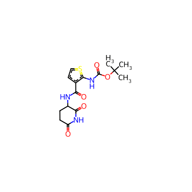 CC(C)(C)OC(=O)Nc1sccc1C(=O)NC1CCC(=O)NC1=O